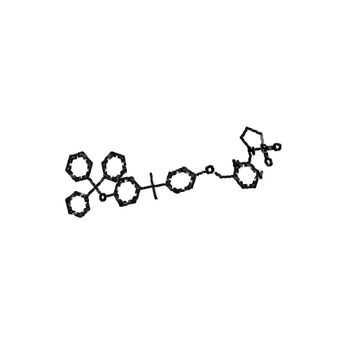 CC(C)(c1ccc(OCc2ccnc(N3CCCS3(=O)=O)n2)cc1)c1ccc(OC(c2ccccc2)(c2ccccc2)c2ccccc2)cc1